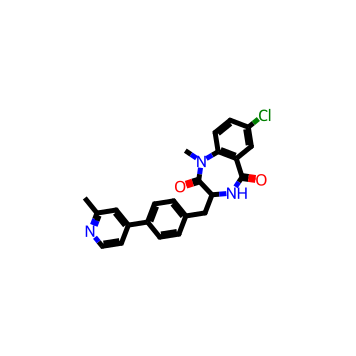 Cc1cc(-c2ccc(CC3NC(=O)c4cc(Cl)ccc4N(C)C3=O)cc2)ccn1